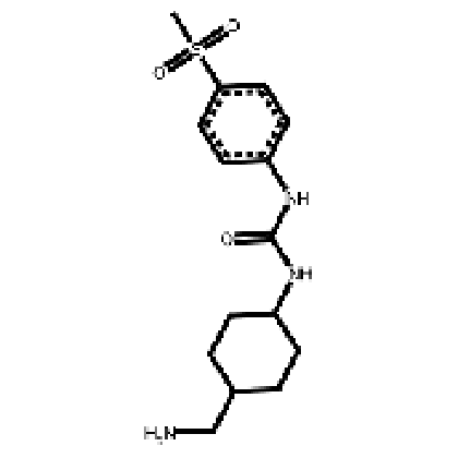 CS(=O)(=O)c1ccc(NC(=O)NC2CCC(CN)CC2)cc1